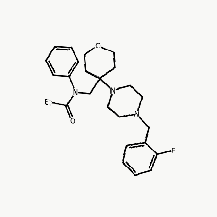 CCC(=O)N(CC1(N2CCN(Cc3ccccc3F)CC2)CCOCC1)c1ccccc1